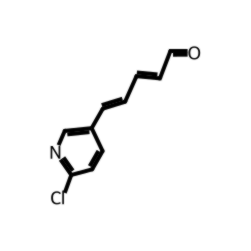 O=C/C=C/C=C/c1ccc(Cl)nc1